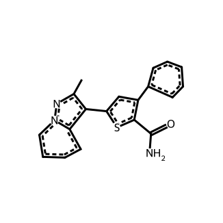 Cc1nn2ccccc2c1-c1cc(-c2ccccc2)c(C(N)=O)s1